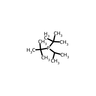 CC(C)P(C(C)(C)C)C(C)(C)C